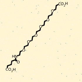 O=C(O)CCCC(=O)NCCOCCOCCOCCOCCOCCOCCC(=O)O